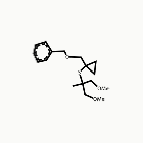 COCC(C)(COC)SC1(COCc2ccccc2)CC1